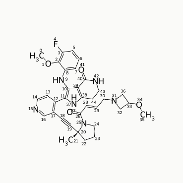 COc1c(F)cccc1Nc1c(-c2ccncc2C#C[C@@]2(C)CCCN2C(=O)/C=C/CN2CC(OC)C2)[nH]c2c1C(=O)NCC2